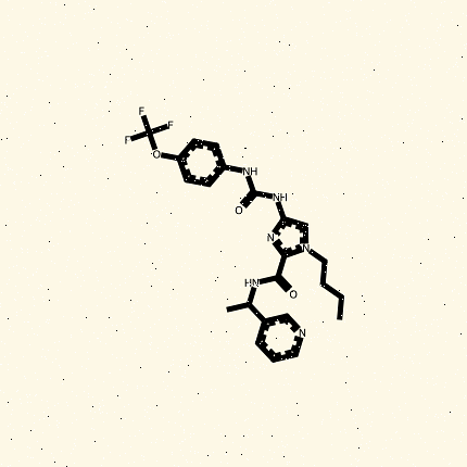 CCCCn1cc(NC(=O)Nc2ccc(OC(F)(F)F)cc2)nc1C(=O)NC(C)c1cccnc1